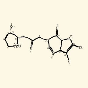 O=C(C[C@H]1NCC[C@@H]1O)CN1C=NC2C(Cl)=C(Cl)SC2C1=O